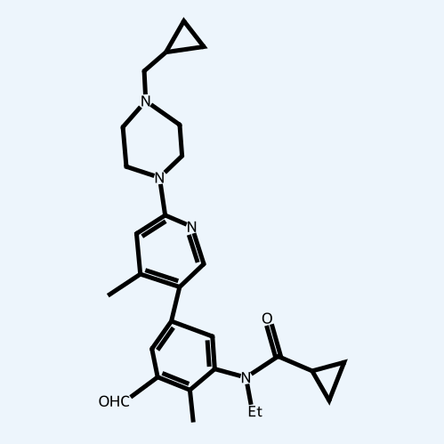 CCN(C(=O)C1CC1)c1cc(-c2cnc(N3CCN(CC4CC4)CC3)cc2C)cc(C=O)c1C